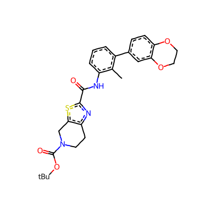 Cc1c(NC(=O)c2nc3c(s2)CN(C(=O)OC(C)(C)C)CC3)cccc1-c1ccc2c(c1)OCCO2